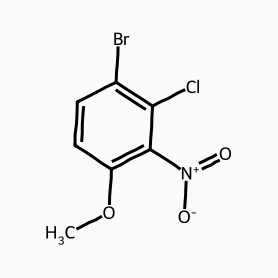 COc1ccc(Br)c(Cl)c1[N+](=O)[O-]